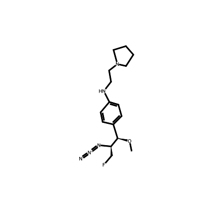 CO[C@H](c1ccc(NCCN2CCCC2)cc1)[C@@H](CF)N=[N+]=[N-]